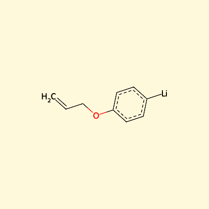 [Li][c]1ccc(OCC=C)cc1